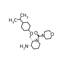 CC(C)C1CCC(OC[C@H]2[C@@H](N)CCCN2C(=O)N2CCOCC2)CC1